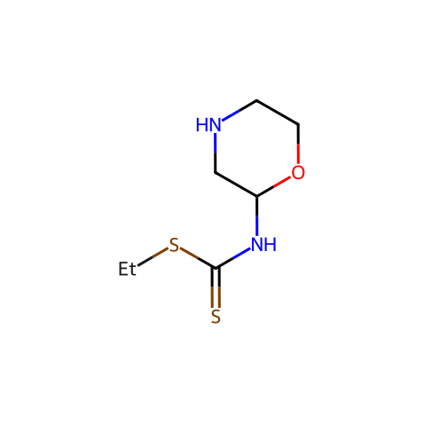 CCSC(=S)NC1CNCCO1